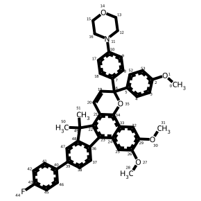 COc1ccc(C2(c3ccc(N4CCOCC4)cc3)C=Cc3c4c(c5cc(OC)c(OC)cc5c3O2)-c2ccc(-c3ccc(F)cc3)cc2C4(C)C)cc1